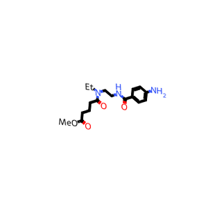 CCN(CCNC(=O)c1ccc(N)cc1)C(=O)CCCC(=O)OC